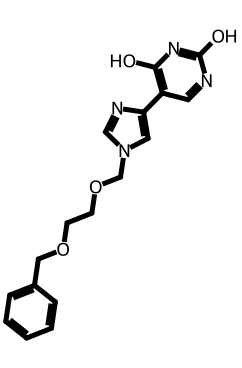 Oc1ncc(-c2cn(COCCOCc3ccccc3)cn2)c(O)n1